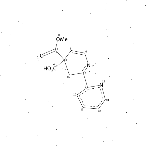 COC(=O)C1(C(=O)O)C=CN=C(c2ccccn2)C1